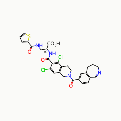 O=C(NC[C@H](NC(=O)c1c(Cl)cc2c(c1Cl)CCN(C(=O)c1ccc3c(c1)CCCN=C3)C2)C(=O)O)c1cccs1